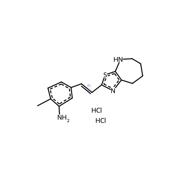 Cc1ccc(/C=C/c2nc3c(s2)NCCCC3)cc1N.Cl.Cl